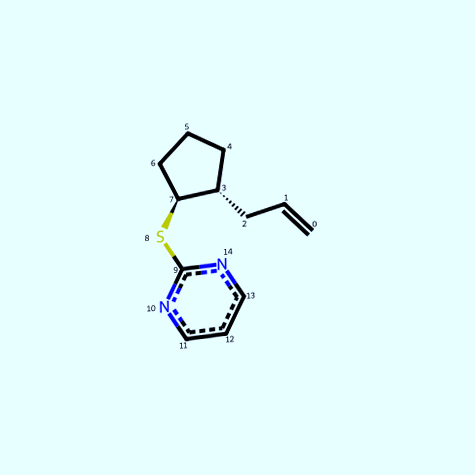 C=CC[C@H]1CCC[C@@H]1Sc1ncccn1